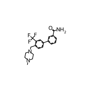 CN1CCN(Cc2ccc(-c3cccc(C(N)=O)c3)cc2C(F)(F)F)CC1